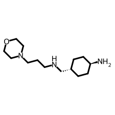 N[C@H]1CC[C@H](CNCCCN2CCOCC2)CC1